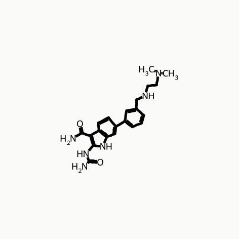 CN(C)CCNCc1cccc(-c2ccc3c(C(N)=O)c(NC(N)=O)[nH]c3c2)c1